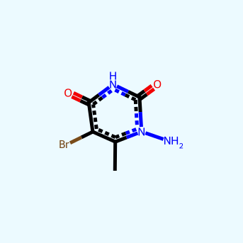 Cc1c(Br)c(=O)[nH]c(=O)n1N